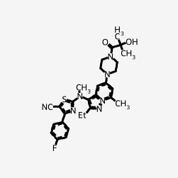 CCc1nn2c(C)cc(N3CCN(C(=O)C(C)(C)O)CC3)cc2c1N(C)c1nc(-c2ccc(F)cc2)c(C#N)s1